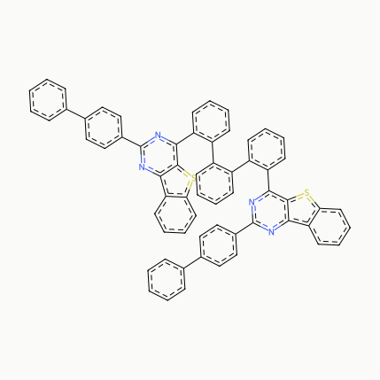 c1ccc(-c2ccc(-c3nc(-c4ccccc4-c4ccccc4-c4ccccc4-c4nc(-c5ccc(-c6ccccc6)cc5)nc5c4sc4ccccc45)c4sc5ccccc5c4n3)cc2)cc1